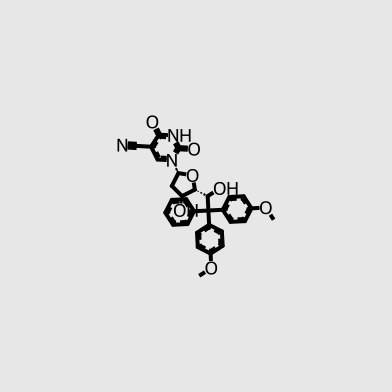 COc1ccc(C(c2ccccc2)(c2ccc(OC)cc2)C(O)[C@H]2O[C@@H](n3cc(C#N)c(=O)[nH]c3=O)C[C@@H]2O)cc1